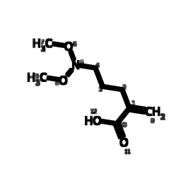 C=C(CCCN(OC)OC)C(=O)O